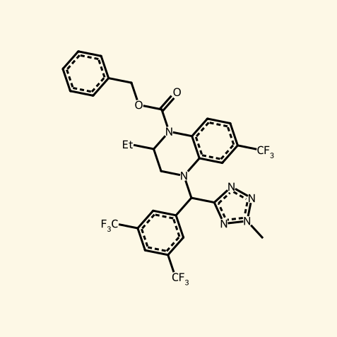 CCC1CN(C(c2cc(C(F)(F)F)cc(C(F)(F)F)c2)c2nnn(C)n2)c2cc(C(F)(F)F)ccc2N1C(=O)OCc1ccccc1